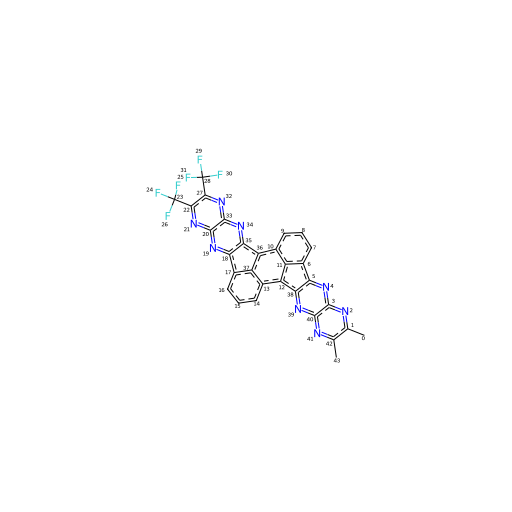 Cc1nc2nc3c4cccc5c4c(c4cccc6c7nc8nc(C(F)(F)F)c(C(F)(F)F)nc8nc7c5c64)c3nc2nc1C